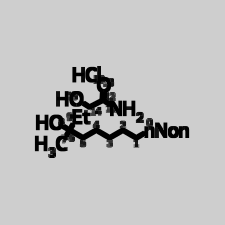 CCCCCCCCCCCCCCC(C)(O)CC.Cl.NC(=O)CO